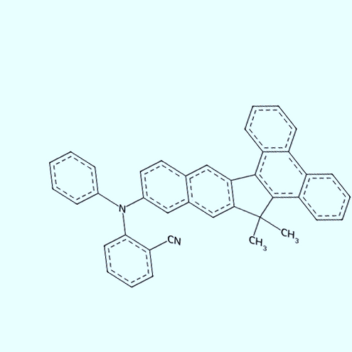 CC1(C)c2cc3cc(N(c4ccccc4)c4ccccc4C#N)ccc3cc2-c2c1c1ccccc1c1ccccc21